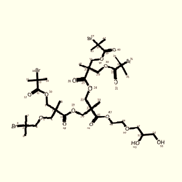 CC(C)(Br)COCC(C)(COC(=O)C(C)(C)Br)C(=O)OCC(C)(COC(=O)C(C)(COC(=O)C(C)(C)Br)COC(=O)C(C)(C)Br)C(=O)OCCOCC(O)CO